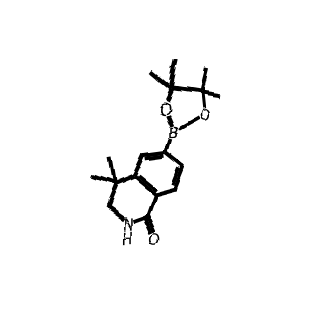 CC1(C)CNC(=O)c2ccc(B3OC(C)(C)C(C)(C)O3)cc21